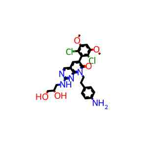 COc1cc(OC)c(Cl)c(-c2cc3cnc(NCC(O)CO)nc3n(CCc3ccc(N)cc3)c2=O)c1Cl